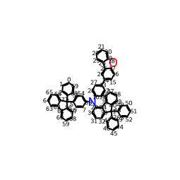 c1ccc(C2(c3ccc(N(c4ccc(-c5ccc6oc7ccccc7c6c5)cc4)c4cccc5c4-c4ccccc4C5(c4ccccc4)c4ccccc4)cc3)c3ccccc3-c3ccccc32)cc1